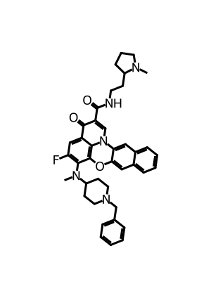 CN1CCCC1CCNC(=O)c1cn2c3c(c(N(C)C4CCN(Cc5ccccc5)CC4)c(F)cc3c1=O)Oc1cc3ccccc3cc1-2